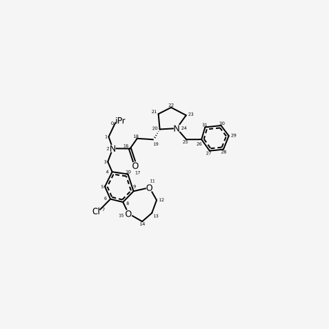 CC(C)CN(Cc1cc(Cl)c2c(c1)OCCCO2)C(=O)CC[C@@H]1CCCN1Cc1ccccc1